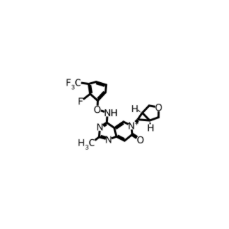 Cc1nc(NOc2cccc(C(F)(F)F)c2F)c2c(n1)=CC(=O)/[N+](=C1/[C@H]3COC[C@@H]13)C=2